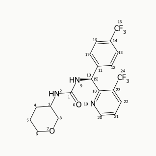 O=C(NC1CCCOC1)N[C@@H](c1ccc(C(F)(F)F)cc1)c1ncccc1C(F)(F)F